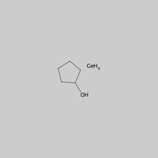 OC1CCCC1.[GeH4]